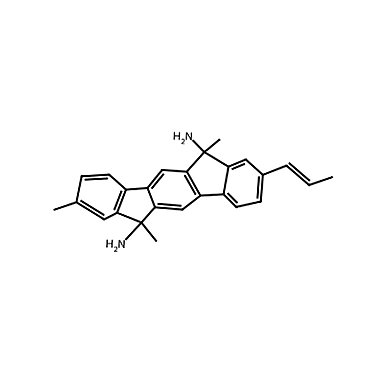 C/C=C/c1ccc2c(c1)C(C)(N)c1cc3c(cc1-2)C(C)(N)c1cc(C)ccc1-3